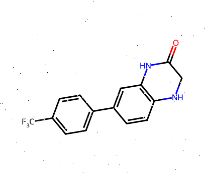 O=C1CNc2ccc(-c3ccc(C(F)(F)F)cc3)cc2N1